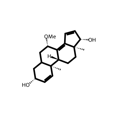 CO[C@H]1CC2C[C@@H](O)C=C[C@]2(C)[C@H]2CC[C@@]3(C)C(=C12)C=C[C@@H]3O